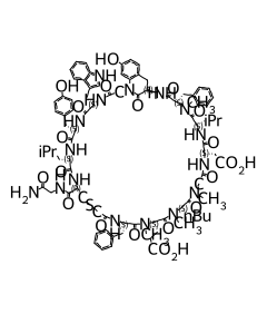 CCCC[C@H]1C(=O)N(C)CC(=O)N[C@@H](CC(=O)O)C(=O)N[C@@H](C(C)C)C(=O)N(C)[C@@H](Cc2ccccc2)C(=O)N[C@H]2Cc3ccc(O)cc3N(CC(=O)N[C@@H](Cc3c[nH]c4ccccc34)C(=O)N[C@@H](Cc3ccc(O)cc3)C(=O)N[C@@H](CC(C)C)C(=O)N[C@H](C(=O)NCC(N)=O)CSCC(=O)N[C@@H](Cc3ccccc3)C(=O)N(C)[C@@H](CCC(=O)O)C(=O)N1C)C2=O